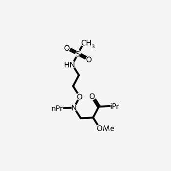 [CH2]CCN(CC(OC)C(=O)C(C)C)OCCNS(C)(=O)=O